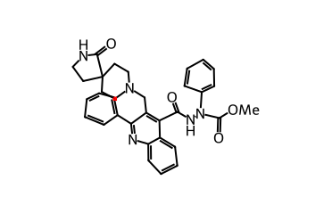 COC(=O)N(NC(=O)c1c(CN2CCC3(CCNC3=O)CC2)c(-c2ccccc2)nc2ccccc12)c1ccccc1